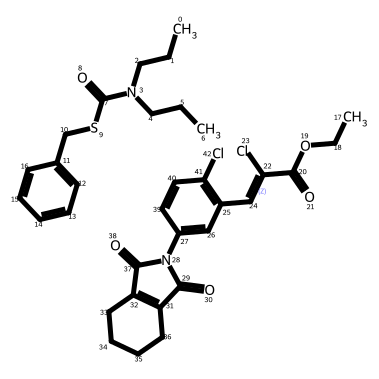 CCCN(CCC)C(=O)SCc1ccccc1.CCOC(=O)/C(Cl)=C/c1cc(N2C(=O)C3=C(CCCC3)C2=O)ccc1Cl